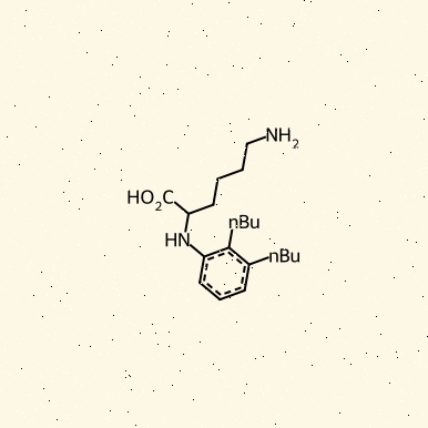 CCCCc1cccc(NC(CCCCN)C(=O)O)c1CCCC